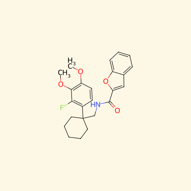 COc1ccc(C2(CNC(=O)c3cc4ccccc4o3)CCCCC2)c(F)c1OC